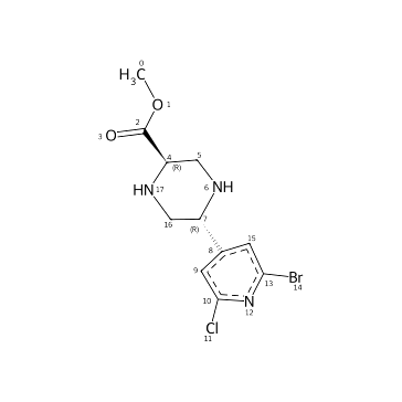 COC(=O)[C@H]1CN[C@H](c2cc(Cl)nc(Br)c2)CN1